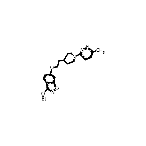 CCOc1noc2cc(OCCC3CCN(c4ccc(C)nn4)CC3)ccc12